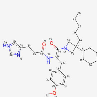 CCCCCC1(C2CCCCC2)CN(C(=O)C(Cc2ccc(OC)cc2)NC(=O)CCc2c[nH]cn2)C1